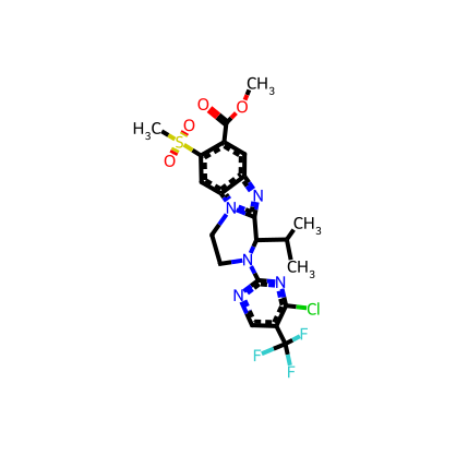 COC(=O)c1cc2nc3n(c2cc1S(C)(=O)=O)CCN(c1ncc(C(F)(F)F)c(Cl)n1)C3C(C)C